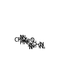 COc1cc(-c2cnn(C)c2)cn2ncc(CNc3ccnc(Cl)c3)c12